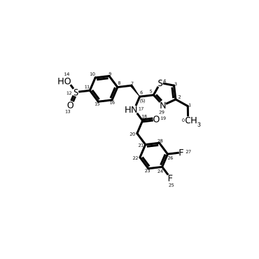 CCc1csc([C@H](Cc2ccc(S(=O)O)cc2)NC(=O)Cc2ccc(F)c(F)c2)n1